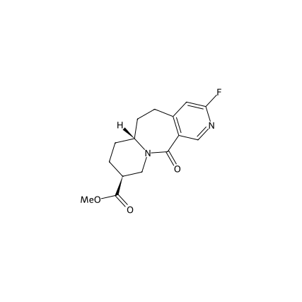 COC(=O)[C@H]1CC[C@@H]2CCc3cc(F)ncc3C(=O)N2C1